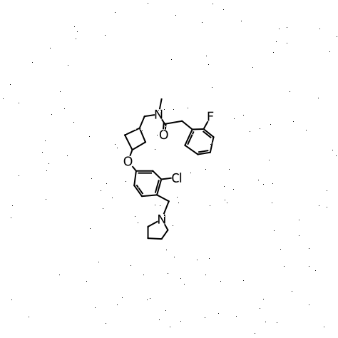 CN(CC1CC(Oc2ccc(CN3CCCC3)c(Cl)c2)C1)C(=O)Cc1ccccc1F